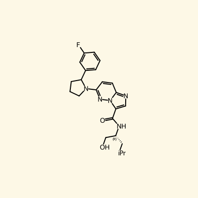 CC(C)C[C@H](CO)NC(=O)c1cnc2ccc(N3CCCC3c3cccc(F)c3)nn12